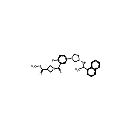 COC(=O)C1CN(C(=O)c2cc(N3CC[C@H](N[C@H](C)c4cccc5ccccc45)C3)ccc2F)C1